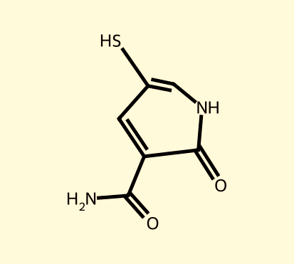 NC(=O)c1cc(S)c[nH]c1=O